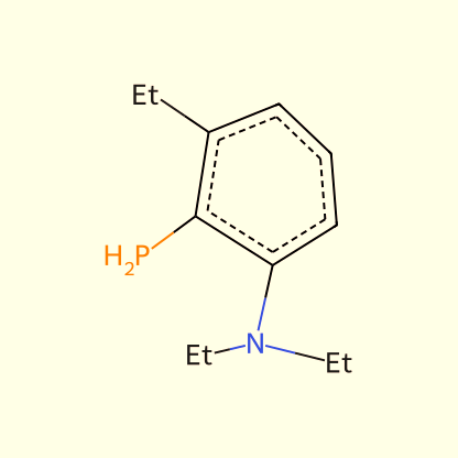 CCc1cccc(N(CC)CC)c1P